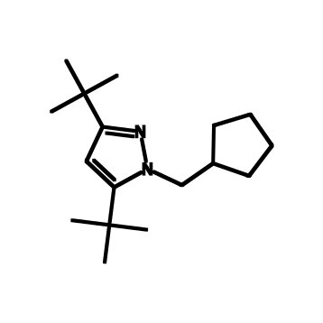 CC(C)(C)c1cc(C(C)(C)C)n(CC2CCCC2)n1